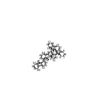 c1ccc(-n2c3ccccc3c3ccc4c5ccccc5n(-c5ccc6sc7c(-c8cccc9c8sc8ccccc89)cccc7c6c5)c4c32)cc1